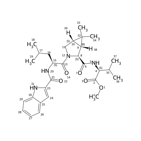 COC(=O)[C@@H](NC(=O)[C@@H]1[C@@H]2[C@H](CN1C(=O)[C@H](CC(C)C)NC(=O)c1cc3ccccc3[nH]1)C2(C)C)C(C)C